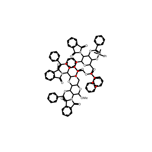 COC1OC(COC(=O)c2ccccc2)C(OC2OC(COC(=O)c3ccccc3)C(OC3OC(COC(=O)c4ccccc4)C(O[Si](C)(C)C(C)C)C(OC(=O)c4ccccc4)C3N3C(=O)c4ccccc4C3=O)C(OC(=O)c3ccccc3)C2N2C(=O)c3ccccc3C2=O)C(OC(=O)c2ccccc2)C1N1C(=O)c2ccccc2C1=O